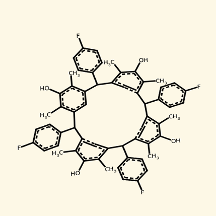 Cc1c2cc(c(C)c1O)C(c1ccc(F)cc1)c1cc(c(C)c(O)c1C)C(c1ccc(F)cc1)c1cc(c(C)c(O)c1C)C(c1ccc(F)cc1)c1cc(c(C)c(O)c1C)C2c1ccc(F)cc1